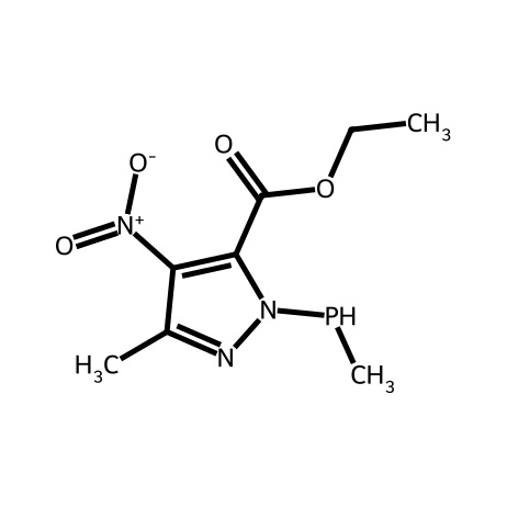 CCOC(=O)c1c([N+](=O)[O-])c(C)nn1PC